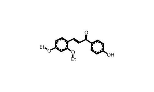 CCOc1ccc(C=CC(=O)c2ccc(O)cc2)c(OCC)c1